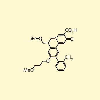 COCCCOc1cc2c(cc1-c1ccccc1C)-c1cc(=O)c(C(=O)O)cn1C[C@@H]2COC(C)C